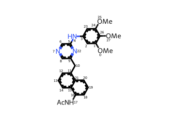 COc1cc(Nc2cncc(Cc3cccc4c(NC(C)=O)cccc34)n2)cc(OC)c1OC